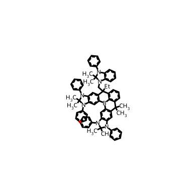 CCC1(CN2c3ccccc3N(c3ccccc3)C2(C)C)c2cc3c(cc2B2c4cc5c(cc4C(C)(C)c4cccc1c42)N(c1ccccc1)C(C)(C)N5c1ccccc1)N(c1ccccc1)C(C)(C)N3c1ccccc1